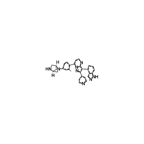 Cc1cc(N2C[C@@H]3C[C@H]2CN3)ccc1-c1ccnc2c(-c3cccc4[nH]ncc34)c(-c3ccncc3)nn12